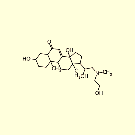 CN(CCO)CC(O)C1CC[C@@]2(O)C3=CC(=O)C4CC(O)CCC4(C)C3CCC12C